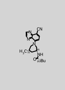 CC[C@@H](C)C(=O)N[C@@H]1C[C@H](C)CN(c2ccc(C#N)c3nccnc23)C1